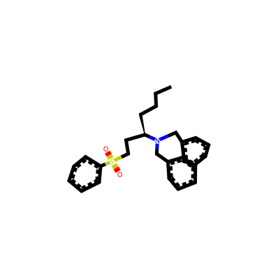 CCCC[C@H](CCS(=O)(=O)c1ccccc1)N(Cc1ccccc1)Cc1ccccc1